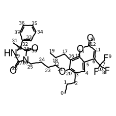 CCCc1cc2c(C(F)(F)F)cc(=O)oc2c(CCC)c1OCCCCN1C(=O)NC(C)(c2ccccc2)C1=O